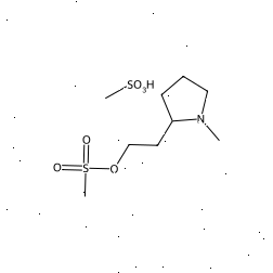 CN1CCCC1CCOS(C)(=O)=O.CS(=O)(=O)O